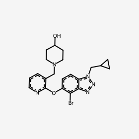 OC1CCN(Cc2cccnc2Oc2ccc3c(nnn3CC3CC3)c2Br)CC1